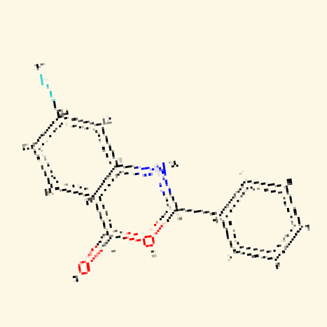 O=c1oc(-c2ccccc2)nc2cc(F)ccc12